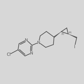 Clc1cnc(N2CCC([C@H]3C[C@H]3CI)CC2)nc1